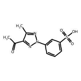 CC(=O)c1nn(-c2cccc(S(=O)(=O)O)c2)nc1C